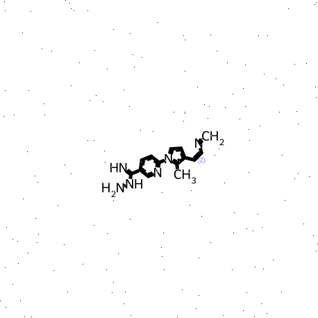 C=N/C=C\c1ccn(-c2ccc(C(=N)NN)cn2)c1C